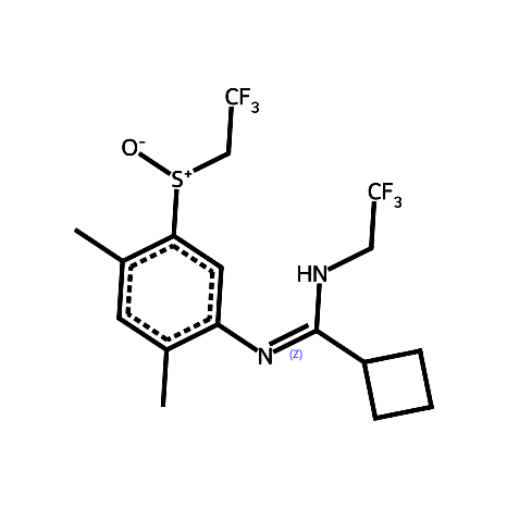 Cc1cc(C)c([S+]([O-])CC(F)(F)F)cc1/N=C(\NCC(F)(F)F)C1CCC1